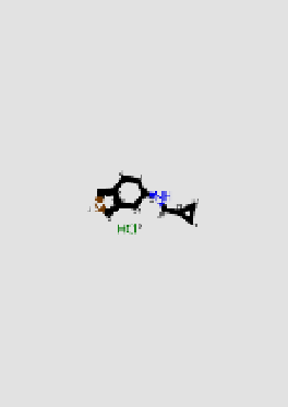 Cl.c1scc2c1CCC(NCC1CC1)C2